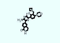 Nc1nc(F)c(-c2ccc(N3CCOCC3)c(CN3CCC3)c2F)nc1-c1ccc2c(c1)CCNC2=O